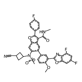 CNC(=O)c1c(-c2ccc(F)cc2)oc2cc(N(C3CC(C#N)C3)S(C)(=O)=O)c(-c3ccc(OC)c(-c4nc5c(F)cc(F)cc5o4)c3)cc12